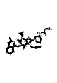 CC#CCn1c(N2CCC[C@@H](NC(=O)OC(C)(C)C)C2)nc2c1c(=O)n(Cc1nc(C)cc3ccccc13)c(=O)n2C1CC1